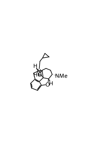 CN[C@H]1CC[C@@]2(O)[C@H]3Cc4cccc5c4[C@@]2(CCN3CC2CC2)[C@H]1O5